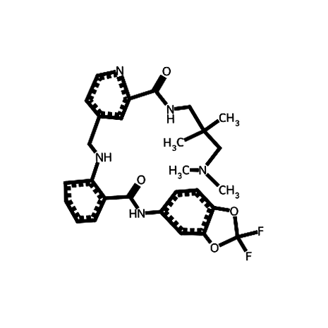 CN(C)CC(C)(C)CNC(=O)c1cc(CNc2ccccc2C(=O)Nc2ccc3c(c2)OC(F)(F)O3)ccn1